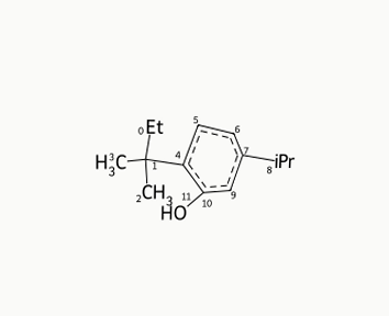 CCC(C)(C)c1ccc(C(C)C)cc1O